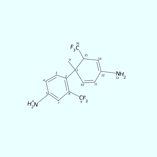 CC1(c2ccc(N)cc2C(F)(F)F)C=CC(N)=CC1C(F)(F)F